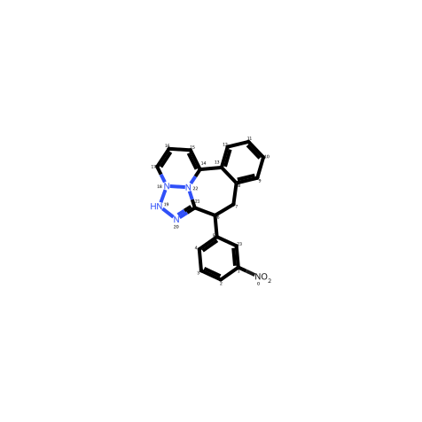 O=[N+]([O-])c1cccc(C2Cc3ccccc3C3=CC=CN4NN=C2N34)c1